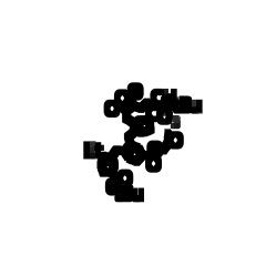 CCC1C2CC(C(=O)OC(C)(C)C)C(C2)C1CC1C2CC(C(=O)OCC3CO3)C(C2)C1CC1C2CCC(C2)C1CC1C(=O)OC(=O)C1CCC(C)(C)C(=O)OC(C)(C)C